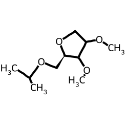 COC1CO[C@H](COC(C)C)C1OC